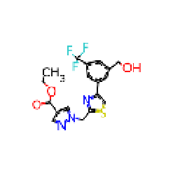 CCOC(=O)c1cnn(Cc2nc(-c3cc(CO)cc(C(F)(F)F)c3)cs2)c1